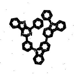 c1ccc(-c2nc(-c3cccc(-n4c5ccccc5c5ccc(-c6ccc7c(c6)c6ccccc6n7-c6ccccc6)cc54)c3)nc3c2sc2ccccc23)cc1